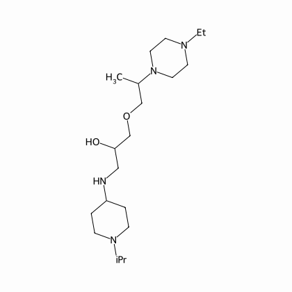 CCN1CCN(C(C)COCC(O)CNC2CCN(C(C)C)CC2)CC1